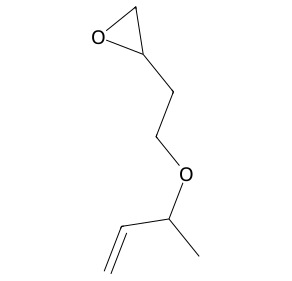 C=CC(C)OCCC1CO1